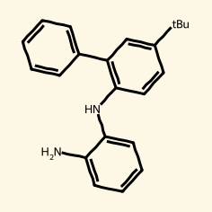 CC(C)(C)c1ccc(Nc2ccccc2N)c(-c2ccccc2)c1